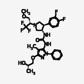 COC[C@H](N1C[C@@H](NC(=O)Nc2c(C)c(OC[C@H](C)O)nn2-c2ccccc2)[C@H](c2ccc(F)c(F)c2)C1)C(F)(F)F